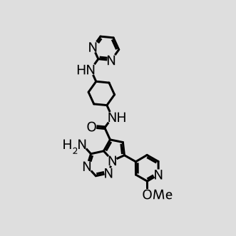 COc1cc(-c2cc(C(=O)NC3CCC(Nc4ncccn4)CC3)c3c(N)ncnn23)ccn1